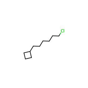 ClCCCCCCC1CCC1